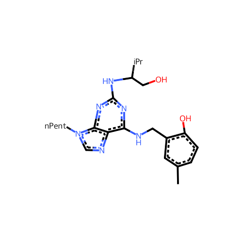 CCCCCn1cnc2c(NCc3cc(C)ccc3O)nc(NC(CO)C(C)C)nc21